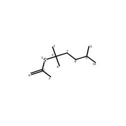 C=C(C)SC(C)(C)CCC(C)C